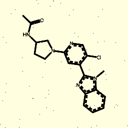 CC(=O)NC1CCN(c2cc(-c3nc4ccccc4n3C)c(Cl)cn2)C1